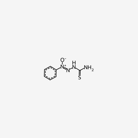 NC(=S)NN=[N+]([O-])c1ccccc1